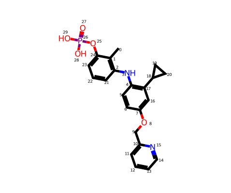 Cc1c(Nc2ccc(OCc3ccccn3)cc2C2CC2)cccc1OP(=O)(O)O